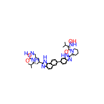 COC(=O)N[C@H](CC(CCCN)c1nc2ccc3cc(-c4ccc5nc([C@@H]6CCCCN6C(=O)[C@@H](NO)C(C)C)[nH]c5c4)ccc3c2[nH]1)C(C)C